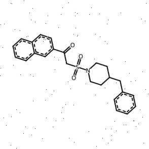 O=C(CS(=O)(=O)N1CCC(Cc2ccccc2)CC1)c1ccc2ccccc2c1